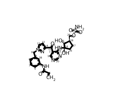 C=CC(=O)Nc1cccc(Cn2ccc(C(=O)c3cncnc3N[C@@]3(O)CC[C@H](COS(N)(=O)=O)[C@H]3O)n2)c1